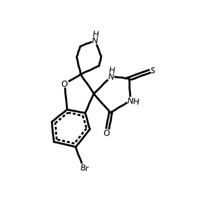 O=C1NC(=S)NC12c1cc(Br)ccc1OC21CCNCC1